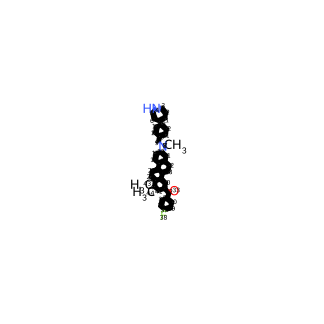 C1=CC=CNC=C1.CN(Cc1ccccc1)c1ccc2c(c1)CC=c1c-2ccc2c1=CC(C(=O)c1ccc(F)cc1)CC2(C)C